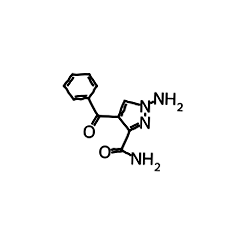 NC(=O)c1nn(N)cc1C(=O)c1ccccc1